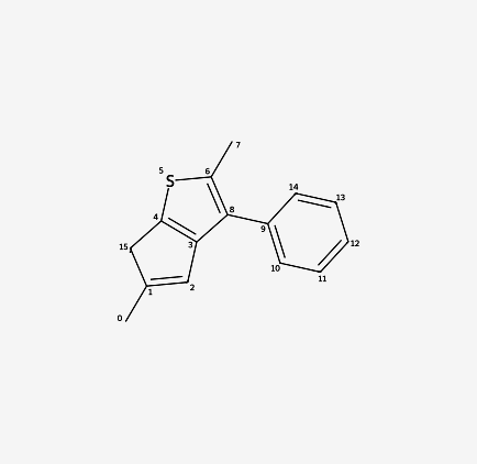 CC1=Cc2c(sc(C)c2-c2ccccc2)[CH]1